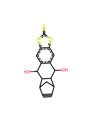 OC1c2cc3sc(=S)sc3cc2C(O)C2C3C#CC(C3)C12